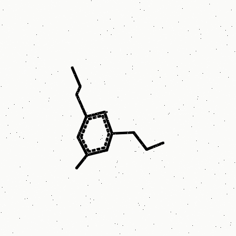 CCCc1[c]c(CCC)cc(C)c1